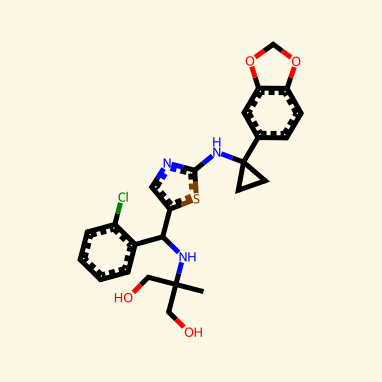 CC(CO)(CO)NC(c1cnc(NC2(c3ccc4c(c3)OCO4)CC2)s1)c1ccccc1Cl